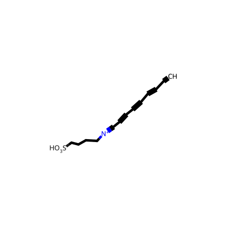 C#CC#CC#CC#CC#[N+]CCCCS(=O)(=O)O